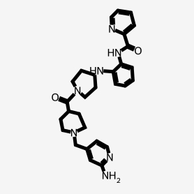 Nc1cc(CN2CCC(C(=O)N3CCC(Nc4ccccc4NC(=O)c4ccccn4)CC3)CC2)ccn1